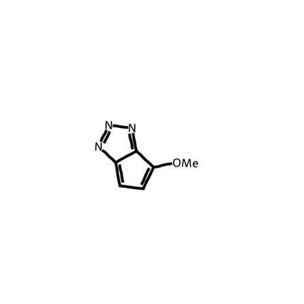 COC1=CC=C2N=NN=C21